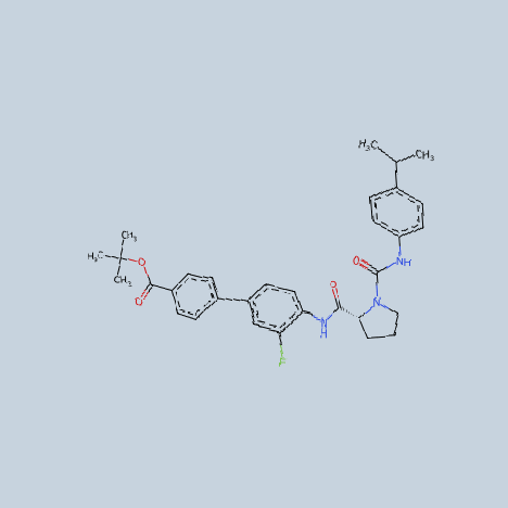 CC(C)c1ccc(NC(=O)N2CCC[C@@H]2C(=O)Nc2ccc(-c3ccc(C(=O)OC(C)(C)C)cc3)cc2F)cc1